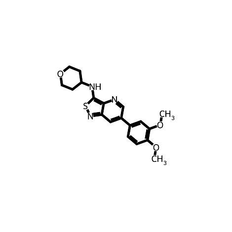 COc1ccc(-c2cnc3c(NC4CCOCC4)snc3c2)cc1OC